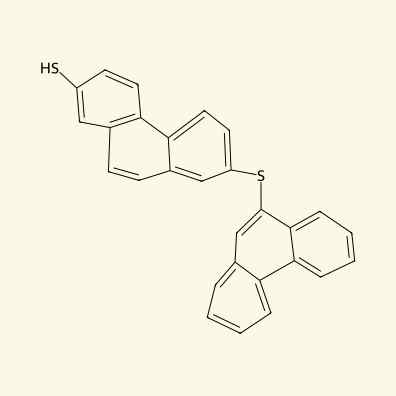 Sc1ccc2c(ccc3cc(Sc4cc5ccccc5c5ccccc45)ccc32)c1